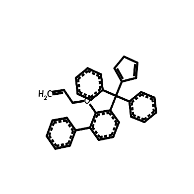 C=CCOc1c(-c2ccccc2)cccc1C(C1=CCC=C1)(c1ccccc1)c1ccccc1